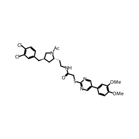 COc1ccc(-c2cnc(SCC(=O)NCC[C@@H]3C[C@@H](Cc4ccc(Cl)c(Cl)c4)CN3C(C)=O)nc2)cc1OC